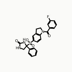 O=C1NCC(c2ccccc2)(S(=O)(=O)c2ccc3c(c2)CCN3C(=O)c2cccc(F)c2)N1